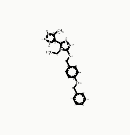 CCn1c(SCc2ccc(OCc3ccccc3)cc2)nnc1-c1snnc1C